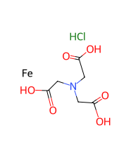 Cl.O=C(O)CN(CC(=O)O)CC(=O)O.[Fe]